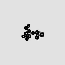 c1ccc(C2(c3ccccc3)c3ccccc3-c3c(N(c4ccc(-c5cccc6ccccc56)cc4)c4ccc(-c5ccc6c7c5c5ccccc5n7-c5ccccc5O6)cc4)cccc32)cc1